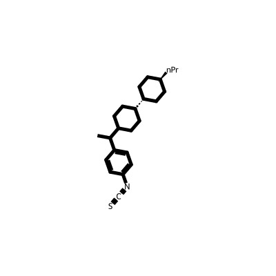 CCC[C@H]1CC[C@H](C2CCC(C(C)c3ccc(N=C=S)cc3)CC2)CC1